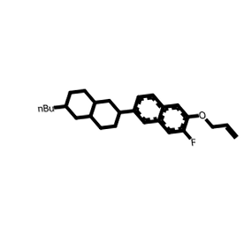 C=CCOc1cc2ccc(C3CCC4CC(CCCC)CCC4C3)cc2cc1F